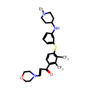 CCN1CCC(Nc2cccc(Sc3ccc(C(=O)C=CN4CCOCC4)c(C(F)(F)F)c3C(F)(F)F)c2)CC1